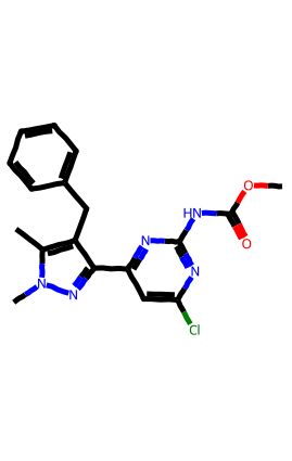 COC(=O)Nc1nc(Cl)cc(-c2nn(C)c(C)c2Cc2ccccc2)n1